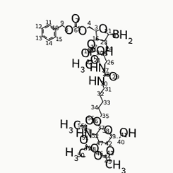 B[C@@H]1O[C@H](COC(=O)OCc2ccccc2)C(OP(=O)(O)OC)[C@@H]1CCCNC(=O)NCCCCCO[C@@H]1O[C@H](CO)[C@H](OC(C)=O)[C@H](OC(C)=O)[C@H]1NC(C)=O